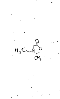 CCN1CC(=O)OCC1C